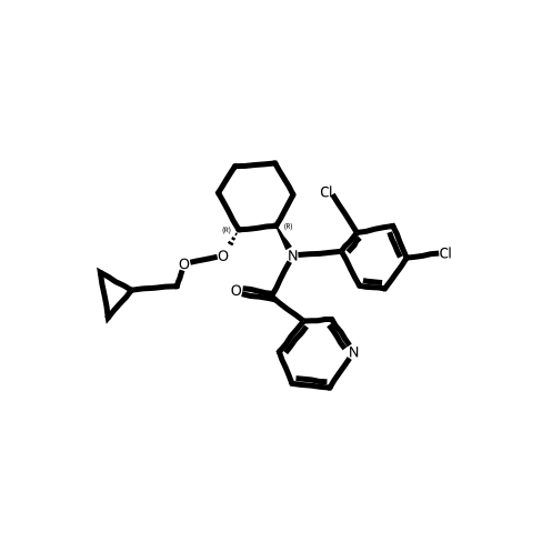 O=C(c1cccnc1)N(c1ccc(Cl)cc1Cl)[C@@H]1CCCC[C@H]1OOCC1CC1